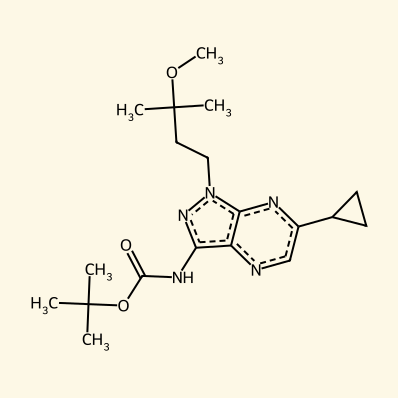 COC(C)(C)CCn1nc(NC(=O)OC(C)(C)C)c2ncc(C3CC3)nc21